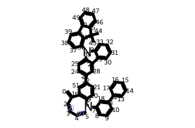 C=C1/C=C\C=C/N(c2cccc(-c3ccccc3)c2)c2ccc(-c3ccc4c(c3)c3ccccc3n4-c3cccc4c3C(C)(C)c3ccccc3-4)cc21